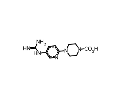 N=C(N)Nc1ccc(N2CCN(C(=O)O)CC2)nc1